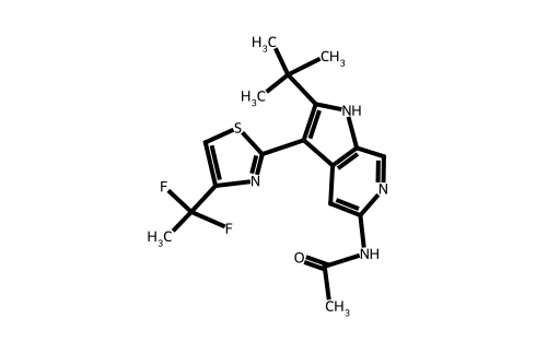 CC(=O)Nc1cc2c(-c3nc(C(C)(F)F)cs3)c(C(C)(C)C)[nH]c2cn1